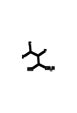 O=C(O)C(O)C(F)C(F)F